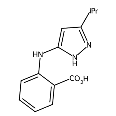 CC(C)c1cc(Nc2ccccc2C(=O)O)[nH]n1